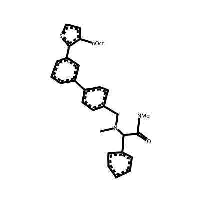 CCCCCCCCc1ccsc1-c1cccc(-c2ccc(CN(C)C(C(=O)NC)c3ccccc3)cc2)c1